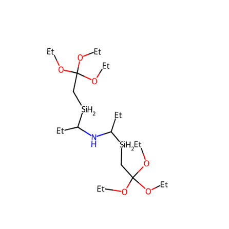 CCOC(C[SiH2]C(CC)NC(CC)[SiH2]CC(OCC)(OCC)OCC)(OCC)OCC